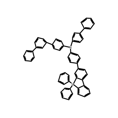 c1ccc(-c2ccc(N(c3ccc(-c4cccc(-c5ccccc5)c4)cc3)c3ccc(-c4ccc5c(c4)[Si](c4ccccc4)(c4ccccc4)c4ccccc4-5)cc3)cc2)cc1